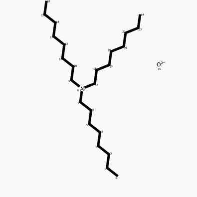 CCCCCCC[CH2][Al]([CH2]CCCCCCC)[CH2]CCCCCCC.[O-2]